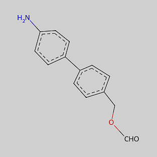 Nc1ccc(-c2ccc(COC=O)cc2)cc1